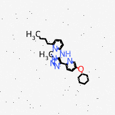 CCCCc1cccc(Nc2c(-c3ccc(OC4CCCCC4)cn3)nnn2C)n1